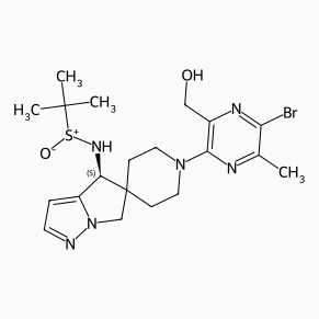 Cc1nc(N2CCC3(CC2)Cn2nccc2[C@H]3N[S+]([O-])C(C)(C)C)c(CO)nc1Br